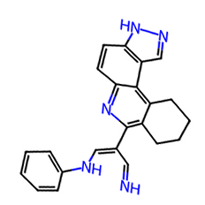 N=C/C(=C\Nc1ccccc1)c1nc2ccc3[nH]ncc3c2c2c1CCCC2